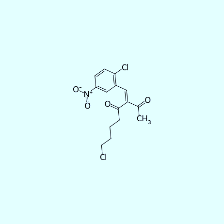 CC(=O)C(=Cc1cc([N+](=O)[O-])ccc1Cl)C(=O)CCCCCl